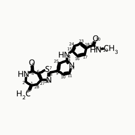 C=C1CNC(=O)c2sc(-c3ccnc(Nc4ccc(C(=O)NC)cc4)c3)nc2C1